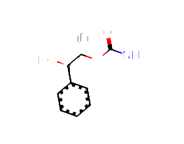 CC(C)[C@H](OC(N)=O)[C@H](O)c1ccccc1